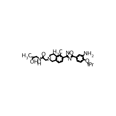 Cc1c(-c2noc(-c3ccc(OC(C)C)c(N)c3)n2)ccc2c1CCN(CC(=O)NC[C@@H](C)O)C2